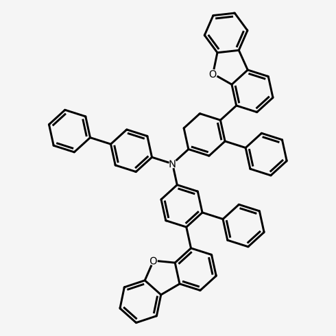 C1=C(N(c2ccc(-c3ccccc3)cc2)c2ccc(-c3cccc4c3oc3ccccc34)c(-c3ccccc3)c2)CCC(c2cccc3c2oc2ccccc23)=C1c1ccccc1